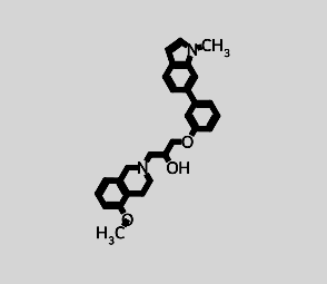 COc1cccc2c1CCN(CC(O)COc1cccc(-c3ccc4ccn(C)c4c3)c1)C2